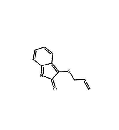 C=CCSC1=c2ccccc2=NC1=O